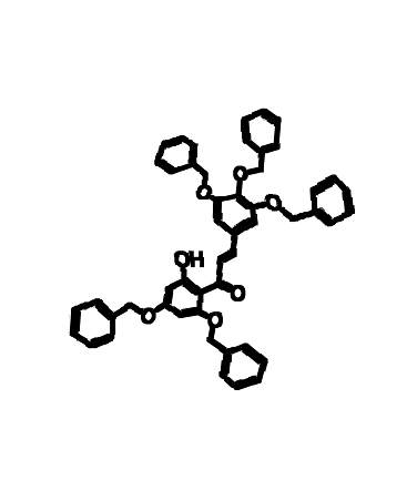 O=C(C=Cc1cc(OCc2ccccc2)c(OCc2ccccc2)c(OCc2ccccc2)c1)c1c(O)cc(OCc2ccccc2)cc1OCc1ccccc1